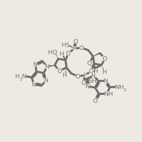 Nc1nc2c(ncn2[C@@H]2O[C@@]34CO[C@@H]2[C@@H]3O[P@](=O)(S)OC[C@H]2O[C@@H](n3cnc5c(N)ncnc53)[C@H](O)[C@@H]2O[P@@](=O)(S)OC4)c(=O)[nH]1